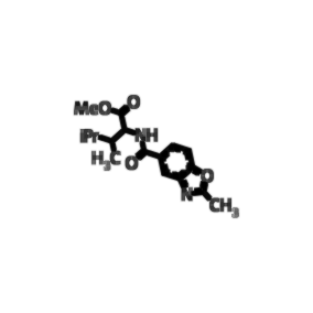 COC(=O)C(NC(=O)c1ccc2oc(C)nc2c1)C(C)C(C)C